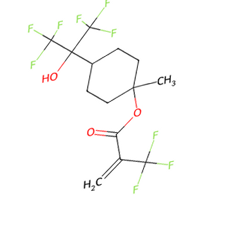 C=C(C(=O)OC1(C)CCC(C(O)(C(F)(F)F)C(F)(F)F)CC1)C(F)(F)F